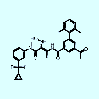 CC(=O)c1cc(C(=O)N/C(C)=C(\NO)C(=O)Nc2cccc(C(F)(F)C3CC3)c2)cc(-c2c(C)cccc2C)c1